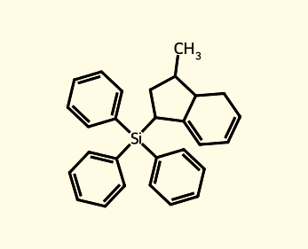 CC1CC([Si](c2ccccc2)(c2ccccc2)c2ccccc2)C2=CC=CCC21